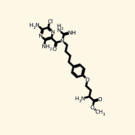 COC(=O)C(N)CCOc1ccc(CCCCN(C(=N)N)C(=O)c2nc(Cl)c(N)nc2N)cc1